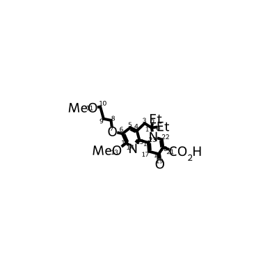 CCC1(CC)Cc2cc(OCCCOC)c(OC)nc2-c2cc(=O)c(C(=O)O)cn21